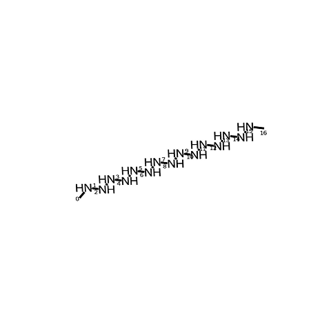 CNNNNNNNNNNNNNNNC